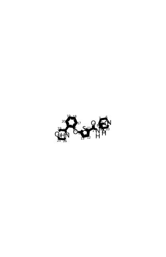 O=C(N[C@H]1CN2CCC1CC2)c1ccc(Oc2ccccc2C2COCCN2)s1